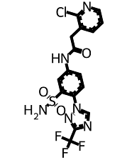 NS(=O)(=O)c1cc(NC(=O)Cc2cccnc2Cl)ccc1-n1cnc(C(F)(F)F)n1